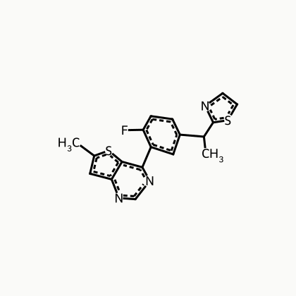 Cc1cc2ncnc(-c3cc(C(C)c4nccs4)ccc3F)c2s1